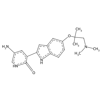 CN(C)CC(C)(C)Oc1ccc2[nH]c(-c3cc(N)c[nH]c3=O)cc2c1